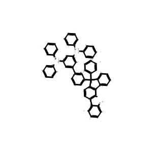 c1ccc(N(c2ccccc2)c2cc(-c3cccc(C4(c5ccccc5)c5ccccc5-c5c4ccc4c5oc5ccccc54)c3)cc(N(c3ccccc3)c3ccccc3)c2)cc1